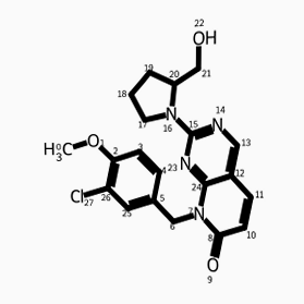 COc1ccc(Cn2c(=O)ccc3cnc(N4CCCC4CO)nc32)cc1Cl